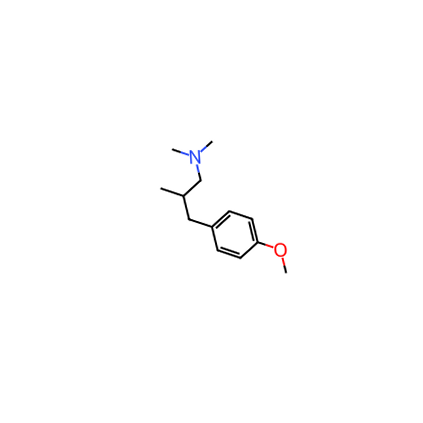 COc1ccc(CC(C)CN(C)C)cc1